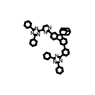 c1ccc(-c2nc(-c3ccccc3)nc(-c3cccc(-c4ccc5c(c4)-c4ccc(-c6nccc(-c7nc(-c8ccccc8)nc(-c8ccccc8)n7)n6)cc4C54C5CC6CC(C5)CC4C6)c3)n2)cc1